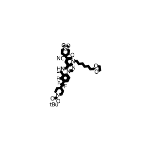 C[C@@H](Nc1ncnc2c1cc(C1(C#N)CCS(=O)(=O)CC1)c(=O)n2CCCCCCC1OCCO1)c1cccc(C(F)(F)C2CCN(C(=O)OC(C)(C)C)CC2)c1F